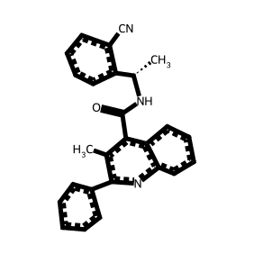 Cc1c(-c2ccccc2)nc2ccccc2c1C(=O)N[C@@H](C)c1ccccc1C#N